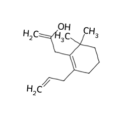 C=CCC1=C(CC(=C)O)C(C)(C)CCC1